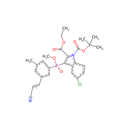 CCOC(=O)c1c(P(=O)(OC)c2cc(C)cc(/C=C/C#N)c2)c2cc(Cl)ccc2n1C(=O)OC(C)(C)C